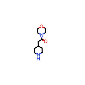 O=C(CC1CCNCC1)N1CCOCC1